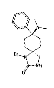 CCN1C(=O)NC[C@]12CC[C@](c1ccccc1)(N(C)C)CC2